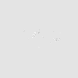 CC(O)CNC(=O)C1(O)CC(C)(C)NC(C)(C)C1